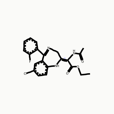 CCOC(=O)/C(NC(C)=O)=C1/CN=C(c2ccccc2F)c2cc(Cl)ccc2N1